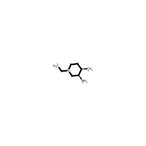 CCN1CC[C@@H](C)[C@@H](N)C1